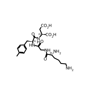 Cc1ccc(C[C@H](NC(=O)CNC(=O)[C@H](N)CCCCN)C(=O)N[C@@H](CC(=O)O)C(=O)O)cc1